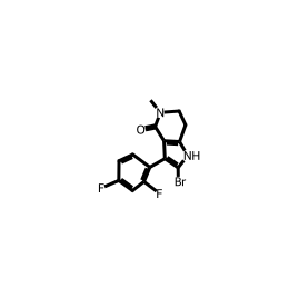 CN1CCc2[nH]c(Br)c(-c3ccc(F)cc3F)c2C1=O